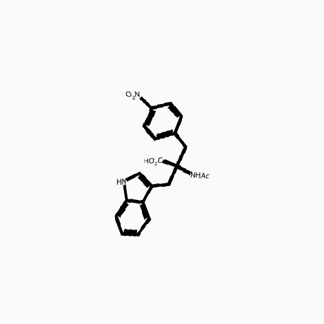 CC(=O)NC(Cc1ccc([N+](=O)[O-])cc1)(Cc1c[nH]c2ccccc12)C(=O)O